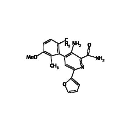 COc1ccc(C)c(-c2cc(-c3ccco3)nc(C(N)=O)c2N)c1C